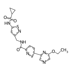 CCOc1cncc(-c2ccc(C(=O)NCc3cc(NS(=O)(=O)C4CC4)sn3)nc2)n1